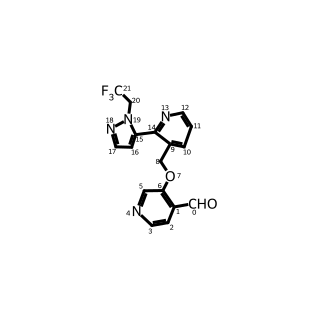 O=Cc1ccncc1OCc1cccnc1-c1ccnn1CC(F)(F)F